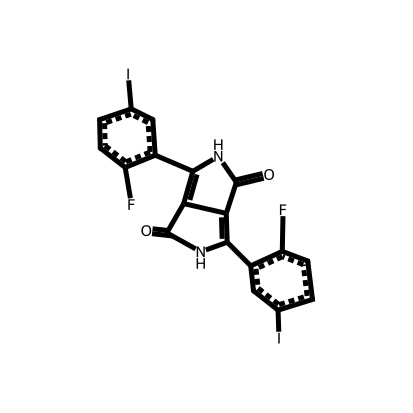 O=C1NC(c2cc(I)ccc2F)=C2C(=O)NC(c3cc(I)ccc3F)=C12